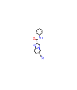 N#Cc1ccc2nc(C(=O)Nc3ccccc3)cn2c1